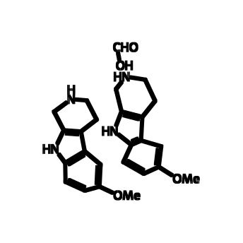 COc1ccc2[nH]c3c(c2c1)CCNC3.COc1ccc2[nH]c3c(c2c1)CCNC3.O=CO